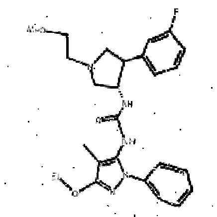 CCOc1nn(-c2ccccc2)c(NC(=O)N[C@@H]2CN(CCOC)C[C@H]2c2cccc(F)c2)c1C